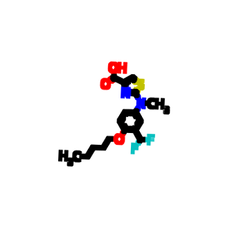 CCCCCOc1ccc(N(C)c2nc(C(=O)O)cs2)cc1C(F)F